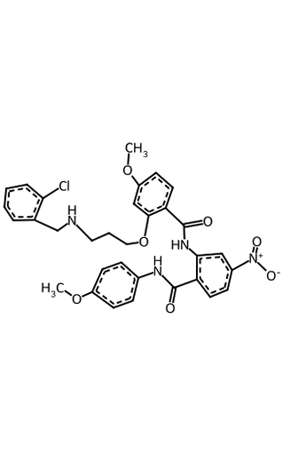 COc1ccc(NC(=O)c2ccc([N+](=O)[O-])cc2NC(=O)c2ccc(OC)cc2OCCCNCc2ccccc2Cl)cc1